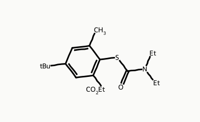 CCOC(=O)c1cc(C(C)(C)C)cc(C)c1SC(=O)N(CC)CC